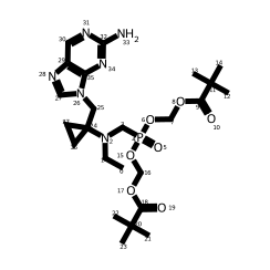 CCN(CP(=O)(OCOC(=O)C(C)(C)C)OCOC(=O)C(C)(C)C)C1(Cn2cnc3cnc(N)nc32)CC1